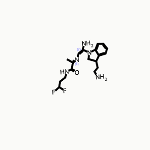 C/C(=N\C=C(\N)N1CC(CCN)c2ccccc21)C(=O)NCCC(F)F